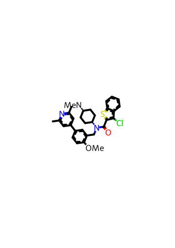 CN[C@H]1CC[C@@H](N(Cc2cc(-c3cc(C)nc(C)c3)ccc2OC)C(=O)c2sc3ccccc3c2Cl)CC1